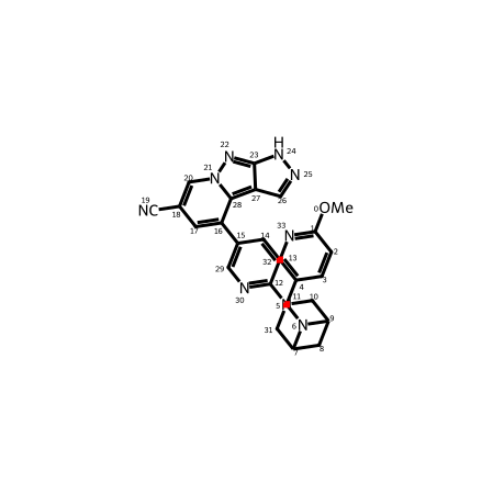 COc1ccc(CN2C3CC2CN(c2ccc(-c4cc(C#N)cn5nc6[nH]ncc6c45)cn2)C3)cn1